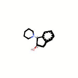 O[C@@H]1Cc2ccccc2[C@H]1N1CCCCC1